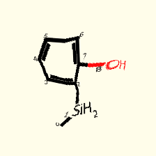 C[SiH2]c1ccccc1O